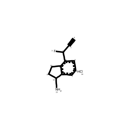 C#CC(F)c1cccc2c1CCC2N.Cl